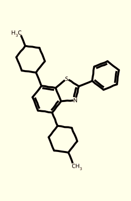 CC1CCC(c2ccc(C3CCC(C)CC3)c3sc(-c4ccccc4)nc23)CC1